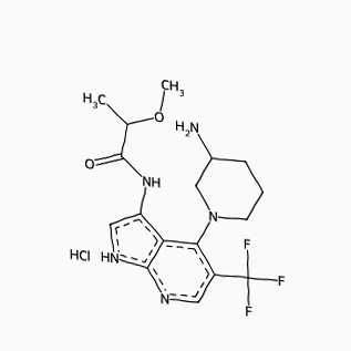 COC(C)C(=O)Nc1c[nH]c2ncc(C(F)(F)F)c(N3CCCC(N)C3)c12.Cl